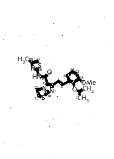 C=C(C)Oc1c(/C=C/c2nc3sccn3c2C(=O)Nc2nc(C)cs2)cccc1OC